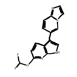 FC(F)Oc1ccc2c(-c3ccc4nccn4c3)c[nH]c2n1